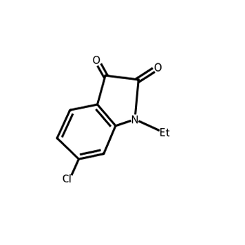 CCN1C(=O)C(=O)c2ccc(Cl)cc21